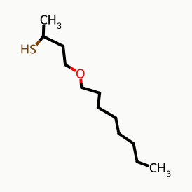 CCCCCCCCOCCC(C)S